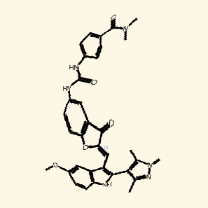 COc1ccc2[nH]c(-c3c(C)nn(C)c3C)c(/C=C3\Oc4ccc(NC(=O)Nc5ccc(C(=O)N(C)C)cc5)cc4C3=O)c2c1